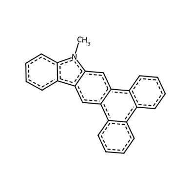 Cn1c2ccccc2c2cc3c4ccccc4c4ccccc4c3cc21